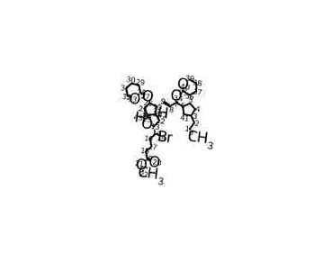 CCCC1CCC([C@@H](C=C[C@@H]2[C@H]3C[C@H](C(Br)CCCC(=O)OC)O[C@@H]3C[C@H]2OC2CCCCO2)OC2CCCCO2)C1